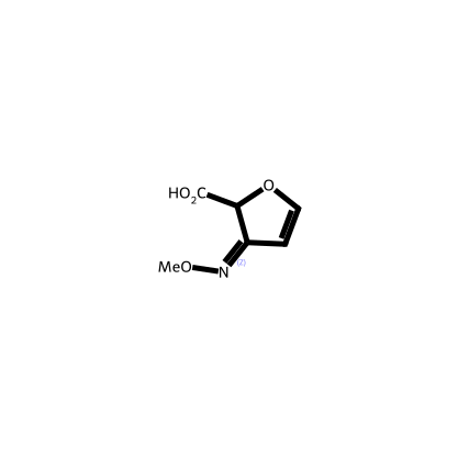 CO/N=C1/C=COC1C(=O)O